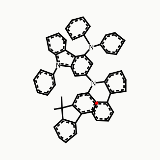 CC1(C)c2ccccc2-c2ccc(N(c3cc(N(c4ccccc4)c4ccccc4)c4c5ccccc5n(-c5ccccc5)c4c3)c3ccccc3-c3ccccc3)cc21